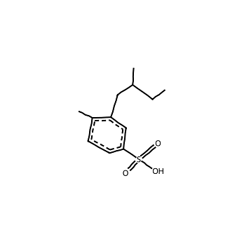 CCC(C)Cc1cc(S(=O)(=O)O)ccc1C